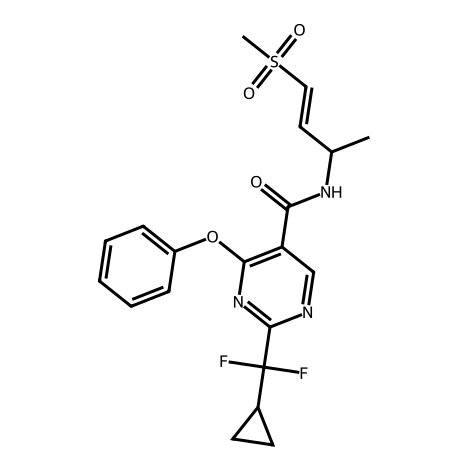 CC(C=CS(C)(=O)=O)NC(=O)c1cnc(C(F)(F)C2CC2)nc1Oc1ccccc1